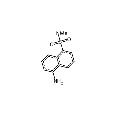 CNS(=O)(=O)c1cccc2c(N)cccc12